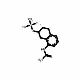 CC(C)(C)[Si](C)(C)OC1CCc2cccc(NC(N)=S)c2C1